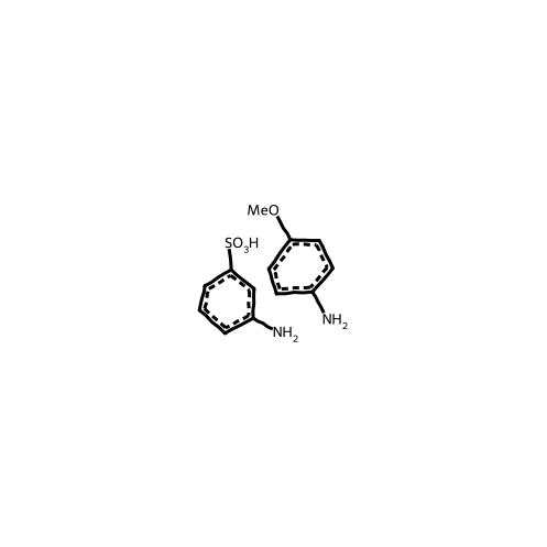 COc1ccc(N)cc1.Nc1cccc(S(=O)(=O)O)c1